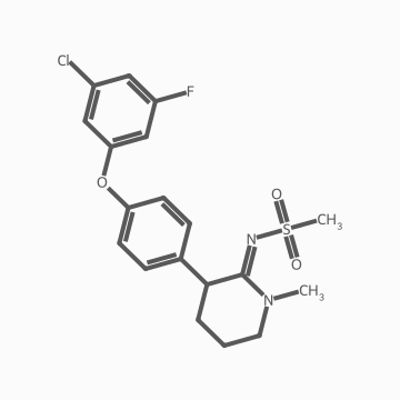 CN1CCCC(c2ccc(Oc3cc(F)cc(Cl)c3)cc2)/C1=N/S(C)(=O)=O